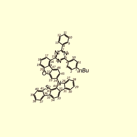 CCCCc1ccc(-c2nc(-c3ccccc3)nc(-c3cccc4oc5cc(-n6c7ccccc7c7ccc8c9ccccc9sc8c76)ccc5c34)n2)cc1